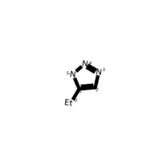 CCC1=CN=N[N]1